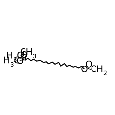 C=CC(=O)OCCCCCCCCCCCCCCCCCCCC[Si](C)(OC)OC